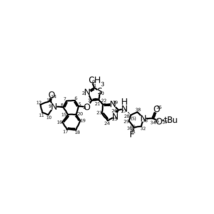 Cc1nc(Oc2ccc(N3CCCC3=O)c3ccccc23)c(-c2ccnc(N[C@H]3C[C@H](F)CN(C(=O)OC(C)(C)C)C3)n2)s1